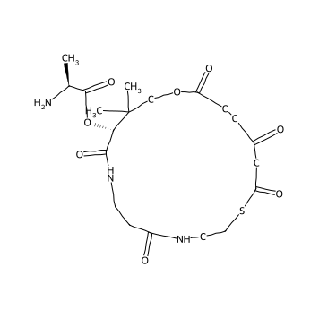 C[C@H](N)C(=O)O[C@H]1C(=O)NCCC(=O)NCCSC(=O)CC(=O)CCC(=O)OCC1(C)C